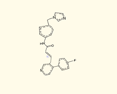 O=C(/C=C/c1cnccc1-c1ccc(F)cc1)Nc1ccc(Cn2ccnc2)cc1